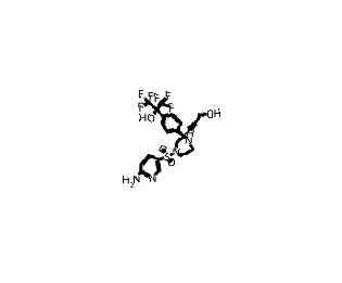 Nc1ccc(S(=O)(=O)N2CCN[C@@](C#CCO)(c3ccc(C(O)(C(F)(F)F)C(F)(F)F)cc3)C2)cn1